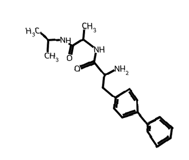 CC(C)NC(=O)C(C)NC(=O)C(N)Cc1ccc(-c2ccccc2)cc1